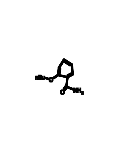 CCCCOc1ccccc1C(N)=O